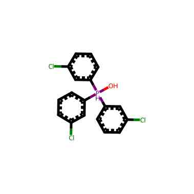 O[PH](c1cccc(Cl)c1)(c1cccc(Cl)c1)c1cccc(Cl)c1